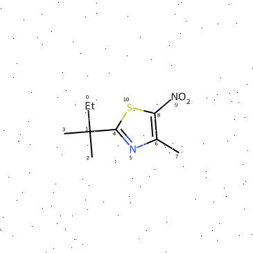 CCC(C)(C)c1nc(C)c([N+](=O)[O-])s1